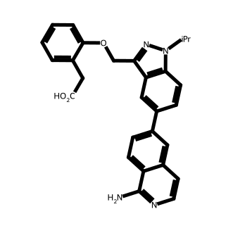 CC(C)n1nc(COc2ccccc2CC(=O)O)c2cc(-c3ccc4c(N)nccc4c3)ccc21